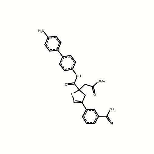 COC(=O)CC1(C(=O)Nc2ccc(-c3ccc(N)cc3)cc2)CC(c2cccc(C(=N)N)c2)=NO1